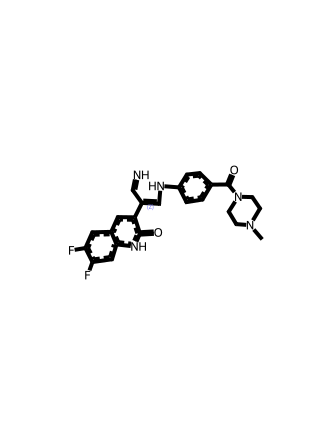 CN1CCN(C(=O)c2ccc(N/C=C(\C=N)c3cc4cc(F)c(F)cc4[nH]c3=O)cc2)CC1